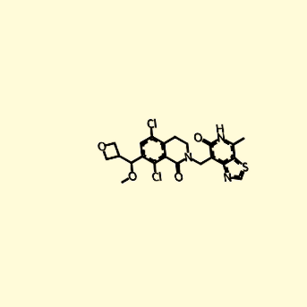 COC(c1cc(Cl)c2c(c1Cl)C(=O)N(Cc1c(=O)[nH]c(C)c3scnc13)CC2)C1COC1